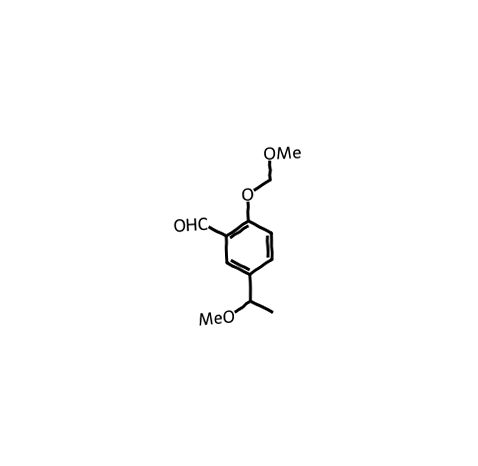 COCOc1ccc(C(C)OC)cc1C=O